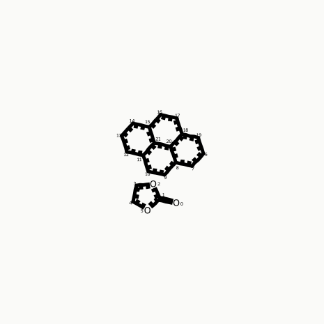 O=c1occo1.c1cc2ccc3cccc4ccc(c1)c2c34